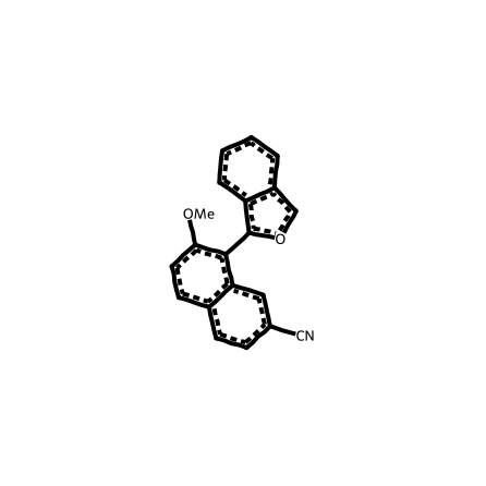 COc1ccc2ccc(C#N)cc2c1-c1occ2ccccc12